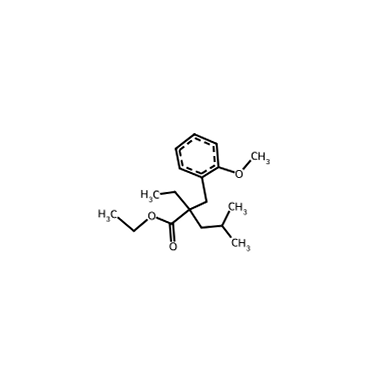 CCOC(=O)C(CC)(Cc1ccccc1OC)CC(C)C